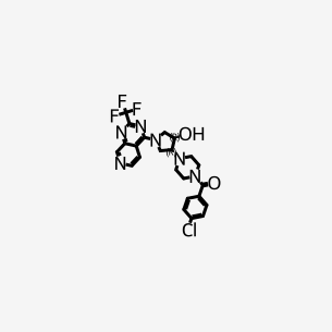 O=C(c1ccc(Cl)cc1)N1CCN([C@@H]2CN(c3nc(C(F)(F)F)nc4cnccc34)C[C@H]2O)CC1